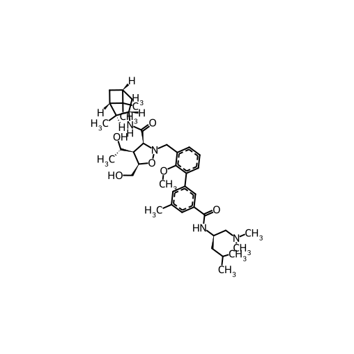 COc1c(CN2O[C@@H](CO)[C@@H]([C@H](C)O)[C@H]2C(=O)N[C@H]2C[C@H]3C[C@@H]([C@@H]2C)C3(C)C)cccc1-c1cc(C)cc(C(=O)N[C@H](CC(C)C)CN(C)C)c1